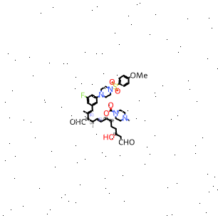 COc1ccc(S(=O)(=O)N2CCN(c3cc(F)cc(/C=C(\C)[C@@H](C=O)[C@@H](C)/C=C/[C@H](OC(=O)N4CCN(C)CC4)[C@H](C)CC[C@H](O)CC=O)c3)CC2)cc1